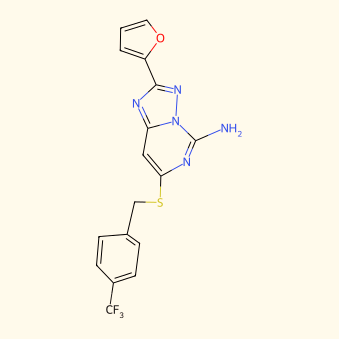 Nc1nc(SCc2ccc(C(F)(F)F)cc2)cc2nc(-c3ccco3)nn12